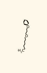 [CH2]CCCCCCOCCCOc1ccccc1